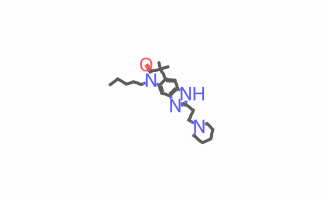 CCCCCN1C(=O)C(C)(C)c2cc3[nH]c(CCN4CCCCC4)nc3cc21